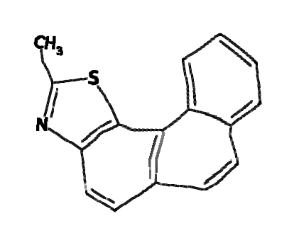 Cc1nc2ccc3ccc4ccccc4c3c2s1